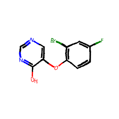 Oc1ncncc1Oc1ccc(F)cc1Br